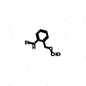 CCNc1ccccc1CO[C]=O